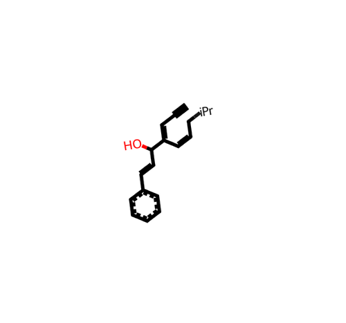 C#C/C=C(\C=C/CC(C)C)C(O)/C=C/c1ccccc1